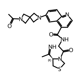 CC(=N)[C@@H]1CSCN1C(=O)CNC(=O)c1ccnc2ccc(N3CC4(CN(C(C)=O)C4)C3)cc12